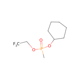 CP(=O)(OCC(F)(F)F)OC1CCCCC1